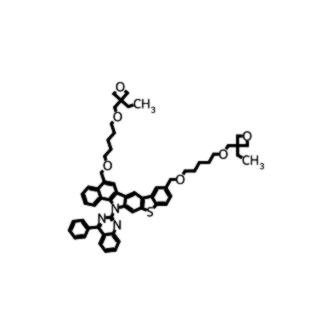 CCC1(COCCCCCOCc2ccc3sc4cc5c(cc4c3c2)c2cc(COCCCCCOCC3(CC)COC3)c3ccccc3c2n5-c2nc(-c3ccccc3)c3ccccc3n2)COC1